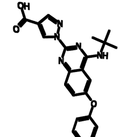 CC(C)(C)Nc1nc(-n2cc(C(=O)O)cn2)nc2ccc(Oc3ccccc3)cc12